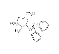 CCOC(=O)[C@@H]1CC(O[Si](c2ccccc2)(c2ccccc2)C(C)(C)C)C(C)[C@@H](O)C1